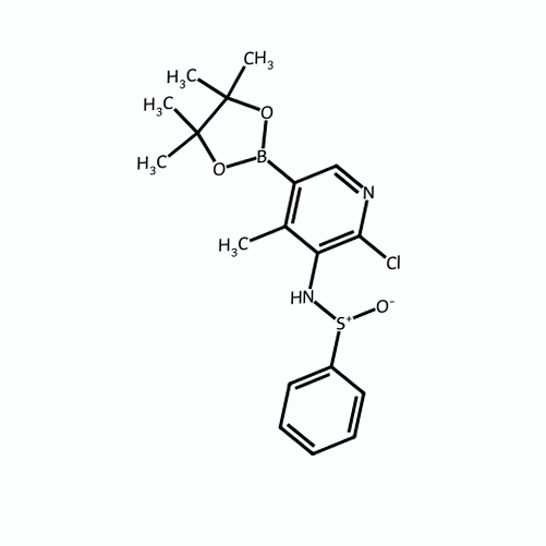 Cc1c(B2OC(C)(C)C(C)(C)O2)cnc(Cl)c1N[S+]([O-])c1ccccc1